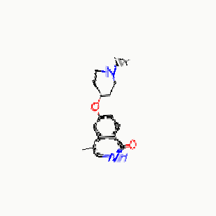 Cc1c[nH]c(=O)c2ccc(OC3CCN(C(C)C)CC3)cc12